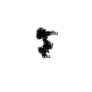 Cc1cc2c3c(c1)N(c1ccc(C(C)(C)C)cc1)c1c(sc4c1C(C)(C)CCC4(C)C)B3c1ccc(C(C)(C)C)cc1N2c1ccccc1-c1ccc2cc(CC(C)(C)c3ccc4c(c3)B3c5sc6c(c5N(c5cccc7ccccc57)c5cc(C)cc(c53)N4c3ccc(C(C)(C)C)cc3)C(C)(C)CCC6(C)C)ccc2c1